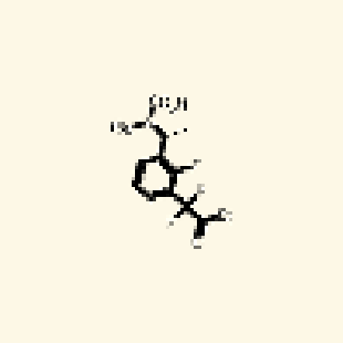 CCC(=O)C(F)(F)c1cccc([C@@H](C)N(C(=O)O)C(C)(C)C)c1F